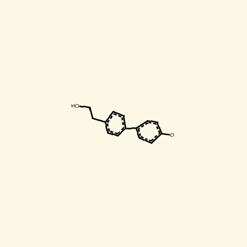 OCCc1ccc(-c2ccc(Cl)cc2)cc1